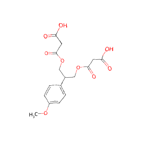 COc1ccc(C(COC(=O)CC(=O)O)COC(=O)CC(=O)O)cc1